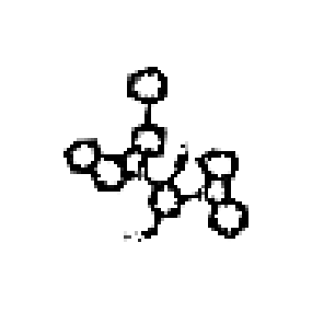 N#Cc1c(-n2c3ccccc3c3ccccc32)cc(C=N)cc1-n1c2ccc(-c3ccccc3)cc2c2c3ccccc3ccc21